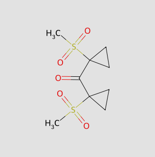 CS(=O)(=O)C1(C(=O)C2(S(C)(=O)=O)CC2)CC1